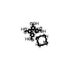 C1=Cc2cc3ccc(cc4nc(cc5ccc(cc1n2)[nH]5)C=C4)[nH]3.O=C(O)c1cc[c]([Cd]([c]2ccc(C(=O)O)cc2)([c]2ccc(C(=O)O)cc2)[c]2ccc(C(=O)O)cc2)cc1